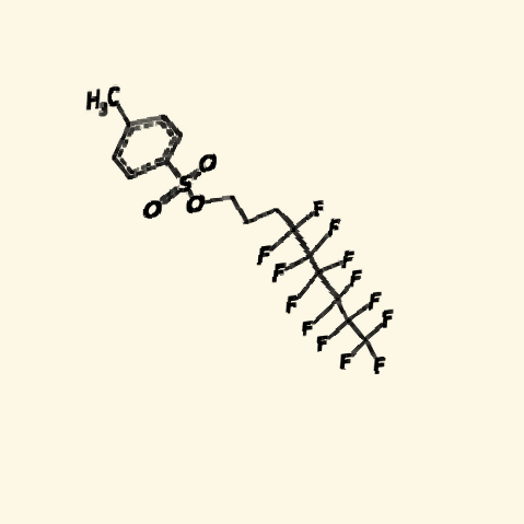 Cc1ccc(S(=O)(=O)OCCCC(F)(F)C(F)(F)C(F)(F)C(F)(F)C(F)(F)C(F)(F)F)cc1